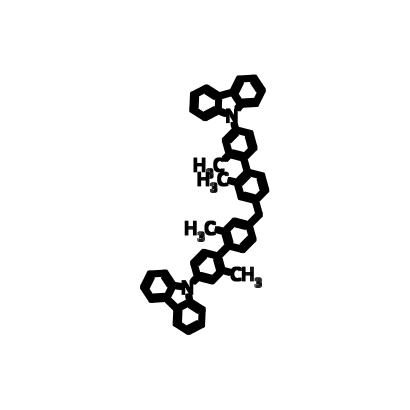 Cc1cc(Cc2ccc(-c3ccc(-n4c5ccccc5c5ccccc54)cc3C)c(C)c2)ccc1-c1ccc(-n2c3ccccc3c3ccccc32)cc1C